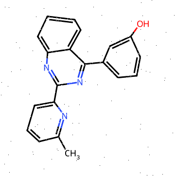 Cc1cccc(-c2nc(-c3cccc(O)c3)c3ccccc3n2)n1